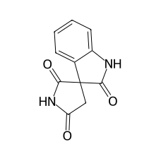 O=C1CC2(C(=O)N1)C(=O)Nc1ccccc12